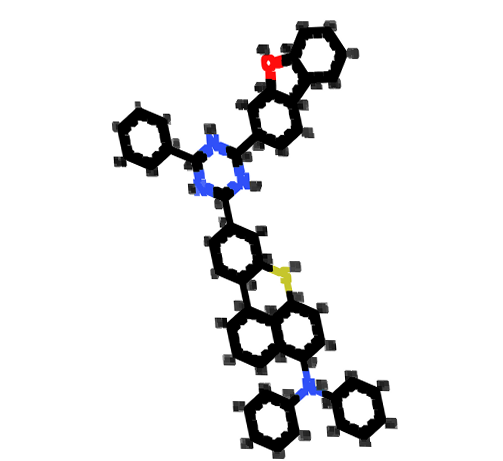 c1ccc(-c2nc(-c3ccc4c(c3)Sc3ccc(N(c5ccccc5)c5ccccc5)c5cccc-4c35)nc(-c3ccc4c(c3)oc3ccccc34)n2)cc1